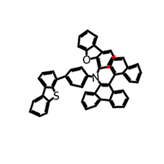 c1ccc2c(-c3c(N(c4ccc(-c5cccc6c5sc5ccccc56)cc4)c4cccc5c4oc4ccccc45)c4ccccc4c4ccccc34)cccc2c1